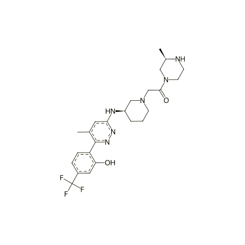 Cc1cc(N[C@@H]2CCCN(CC(=O)N3CCN[C@H](C)C3)C2)nnc1-c1ccc(C(F)(F)F)cc1O